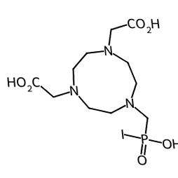 O=C(O)CN1CCN(CC(=O)O)CCN(CP(=O)(O)I)CC1